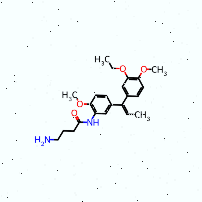 CC=C(c1ccc(OC)c(NC(=O)CCCN)c1)c1ccc(OC)c(OCC)c1